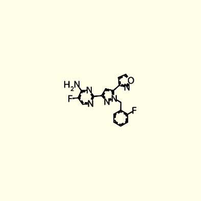 Nc1nc(-c2cc(-c3ccon3)n(Cc3ccccc3F)n2)ncc1F